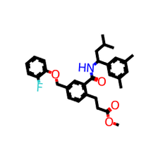 COC(=O)CCc1ccc(COc2ccccc2F)cc1C(=O)NC(CC(C)C)c1cc(C)cc(C)c1